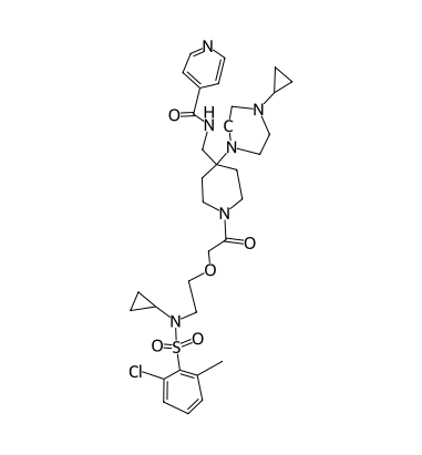 Cc1cccc(Cl)c1S(=O)(=O)N(CCOCC(=O)N1CCC(CNC(=O)c2ccncc2)(N2CCN(C3CC3)CC2)CC1)C1CC1